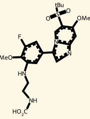 COc1cc2ncc(-c3cc(F)c(OC)c(NCCNC(=O)O)c3)n2cc1S(=O)(=O)C(C)(C)C